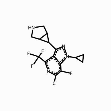 Fc1c(Cl)nc(C(F)(F)F)c2c(C3C4CNCC43)nn(C3CC3)c12